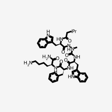 CC(C)CC(=O)N[C@H](Cc1c[nH]c2ccccc12)C(=O)NN(C)C(=O)N[C@@H](Cc1c[nH]c2ccccc12)C(=O)N[C@H](Cc1ccccc1)C(=O)N[C@@H](CCCCN)C(N)=O